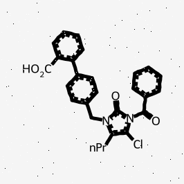 CCCc1c(Cl)n(C(=O)c2ccccc2)c(=O)n1Cc1ccc(-c2ccccc2C(=O)O)cc1